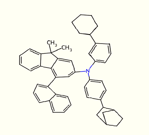 CC1(C)c2ccccc2-c2c(-c3cccc4ccccc34)cc(N(c3ccc(C4CC5CCC4C5)cc3)c3cccc(C4CCCCC4)c3)cc21